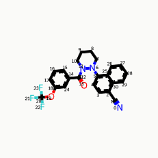 N#Cc1ccc(N2CCCCN2C(=O)c2cccc(OC(F)(F)F)c2)c2ccccc12